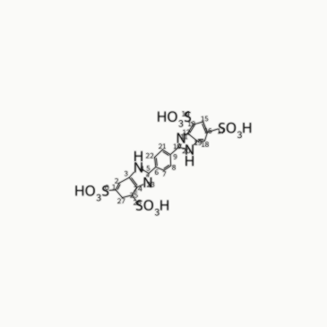 O=S(=O)(O)C1=Cc2[nH]c(-c3ccc(-c4nc5c(S(=O)(=O)O)cc(S(=O)(=O)O)cc5[nH]4)cc3)nc2C(S(=O)(=O)O)C1